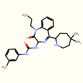 CCCN1C(=O)C(NC(=O)Nc2cccc(C)c2)N=C(C2CCC(C)(C)CCN2)c2ccccc21